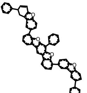 C1=CC(c2ccccc2)Cc2c1oc1ccc(-c3cccc4c3oc3c(-c5ccccc5)c5oc6c(-c7ccc8oc9ccc(-c%10ccccc%10)cc9c8c7)cccc6c5cc34)cc21